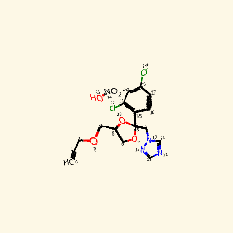 C#CCOCC1COC(Cn2cncn2)(c2ccc(Cl)cc2Cl)O1.O=[N+]([O-])O